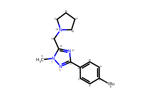 Cn1nc(-c2ccc(C(C)(C)C)cc2)nc1CN1CCCC1